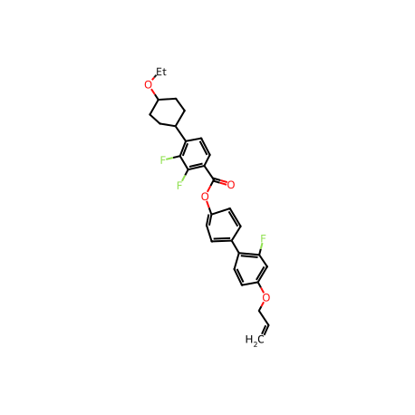 C=CCOc1ccc(-c2ccc(OC(=O)c3ccc(C4CCC(OCC)CC4)c(F)c3F)cc2)c(F)c1